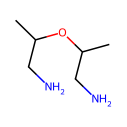 CC(CN)OC(C)CN